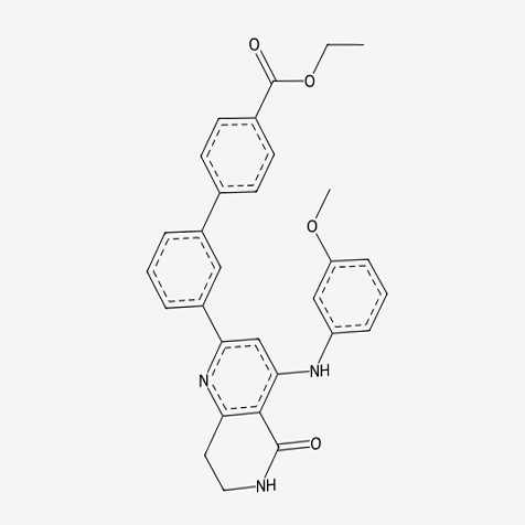 CCOC(=O)c1ccc(-c2cccc(-c3cc(Nc4cccc(OC)c4)c4c(n3)CCNC4=O)c2)cc1